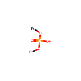 [CH2]COP(=O)(O)OCC